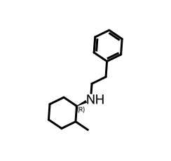 CC1CCCC[C@H]1NCCc1ccccc1